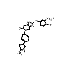 Cc1ccc(Oc2nc3cc(-c4ccc(-c5ccc(O)nc5)cc4)c(Cl)cc3[nH]2)cc1C(=O)O